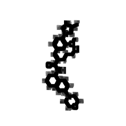 COc1cc(/C=C(\CCCCl)C(=O)NC2CCCc3cc(N4CCOCC4)ccc32)ccc1-n1cnc(C)c1